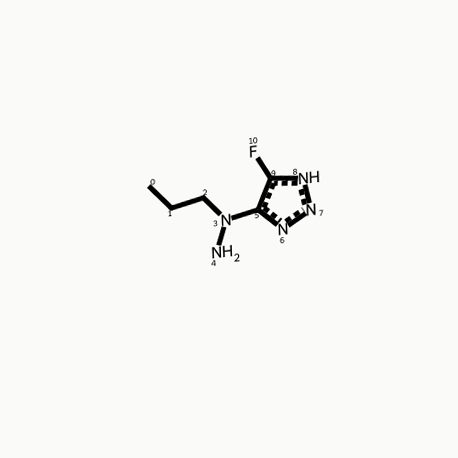 CCCN(N)c1nn[nH]c1F